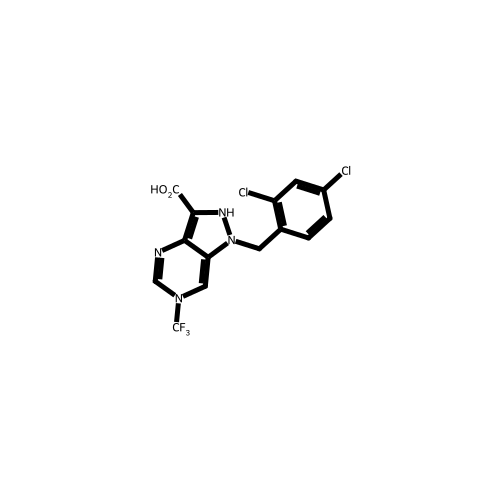 O=C(O)C1=C2N=CN(C(F)(F)F)C=C2N(Cc2ccc(Cl)cc2Cl)N1